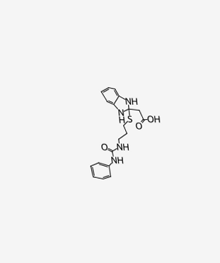 O=C(O)CC1(SCCCNC(=O)Nc2ccccc2)Nc2ccccc2N1